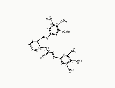 COc1cc(C=Cc2ccccc2NC(=O)/C=C/c2cc(OC)c(OC)c([N+](=O)[O-])c2)cc(OC)c1OC